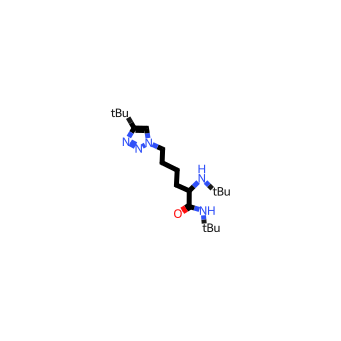 CC(C)(C)NC(=O)C(CCCCn1cc(C(C)(C)C)nn1)NC(C)(C)C